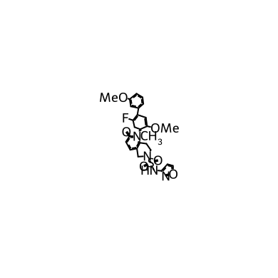 COC1=CC(c2cccc(OC)c2)=C(F)CC1(C)n1c2c(ccc1=O)CN(S(=O)(=O)Nc1ccon1)CC2